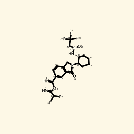 N=C(OC(=N)C(F)F)c1ccc2c(c1)C(=O)N(C1CCCC[C@H]1N[S+]([O-])CC(F)(F)F)C2